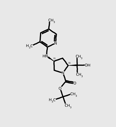 Cc1cnc(N[C@H]2C[C@@H](C(C)(C)O)N(C(=O)OC(C)(C)C)C2)c(C)c1